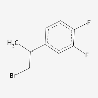 C[C](CBr)c1ccc(F)c(F)c1